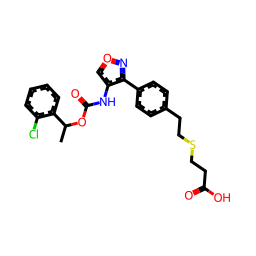 CC(OC(=O)Nc1conc1-c1ccc(CCSCCC(=O)O)cc1)c1ccccc1Cl